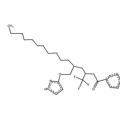 CCCCCCCCCCCC(COc1cc[nH]n1)CC(CC(=O)c1ccccn1)C(F)(F)F